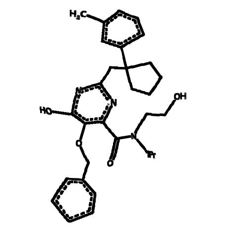 Cc1cccc(C2(Cc3nc(O)c(OCc4ccccc4)c(C(=O)N(CCO)C(C)C)n3)CCCC2)c1